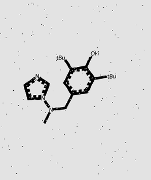 CN(Cc1cc(C(C)(C)C)c(O)c(C(C)(C)C)c1)n1ccnc1